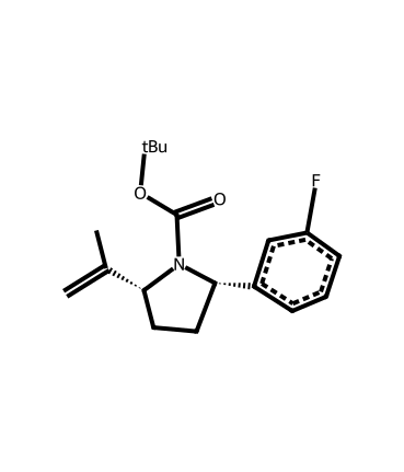 C=C(C)[C@H]1CC[C@@H](c2cccc(F)c2)N1C(=O)OC(C)(C)C